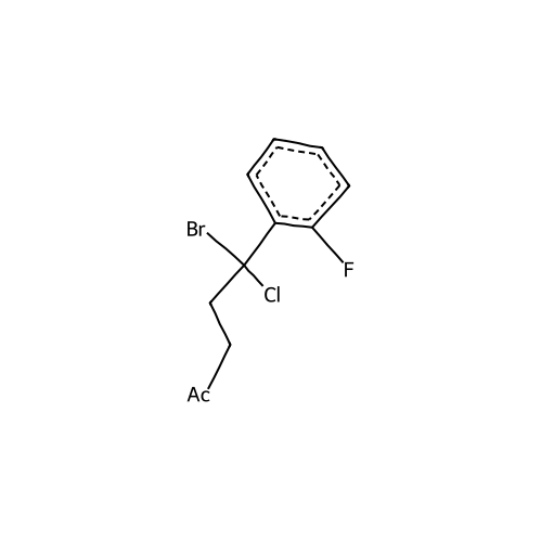 CC(=O)CCC(Cl)(Br)c1ccccc1F